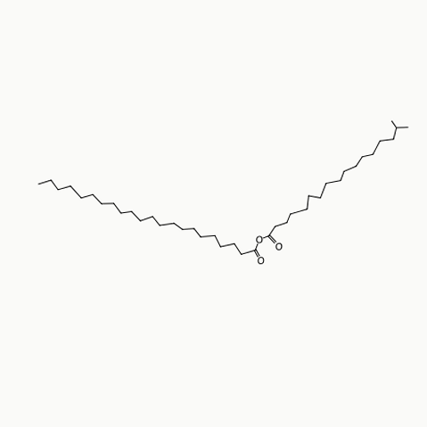 CCCCCCCCCCCCCCCCCCCCCC(=O)OC(=O)CCCCCCCCCCCCCCC(C)C